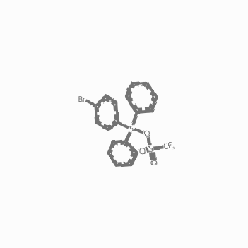 O=S(=O)(OS(c1ccccc1)(c1ccccc1)c1ccc(Br)cc1)C(F)(F)F